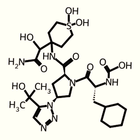 CC(C)(O)c1cnnn1[C@H]1C[C@@H](C(=O)NC2(C(O)C(N)=O)CCS(O)(O)CC2)N(C(=O)[C@@H](CC2CCCCC2)NC(=O)O)C1